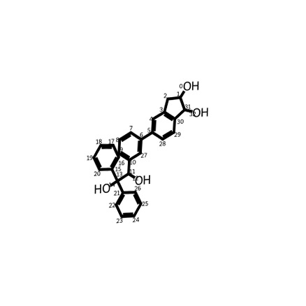 OC1Cc2cc(-c3cccc(C(O)C(O)(c4ccccc4)c4ccccc4)c3)ccc2C1O